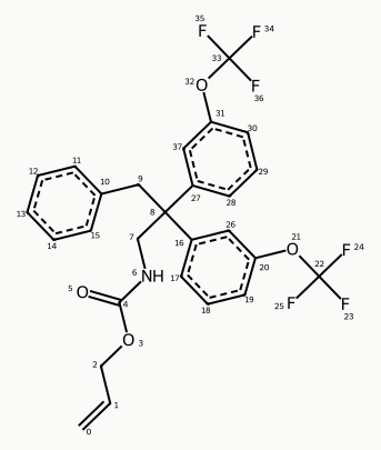 C=CCOC(=O)NCC(Cc1ccccc1)(c1cccc(OC(F)(F)F)c1)c1cccc(OC(F)(F)F)c1